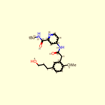 COc1ccc(CCCO)cc1CC(=O)Nc1ccnc(C(=O)NC(C)(C)C)c1